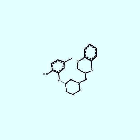 Nc1ccc(F)cc1N[C@H]1CCCN(C[C@H]2COc3ccccc3O2)C1